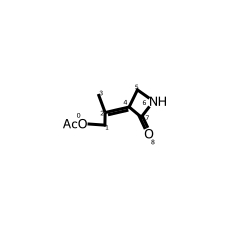 CC(=O)OCC(C)=C1CNC1=O